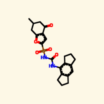 CC1CC(=O)c2cc(S(=O)(=O)NC(=O)Nc3c4c(cc5c3CCC5)CCC4)oc2C1